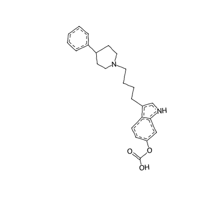 O=C(O)Oc1ccc2c(CCCCN3CCC(c4ccccc4)CC3)c[nH]c2c1